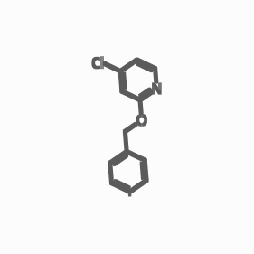 Clc1ccnc(OCc2cc[c]cc2)c1